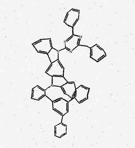 c1ccc(-c2cc(-c3ccccc3)cc(-c3ccccc3-n3c4ccccc4c4cc5c(cc43)c3ccccc3n5-c3nc(-c4ccccc4)nc(-c4ccccc4)n3)c2)cc1